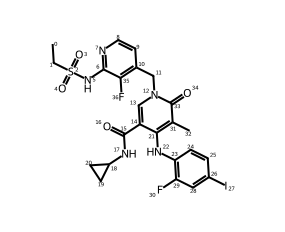 CCS(=O)(=O)Nc1nccc(Cn2cc(C(=O)NC3CC3)c(Nc3ccc(I)cc3F)c(C)c2=O)c1F